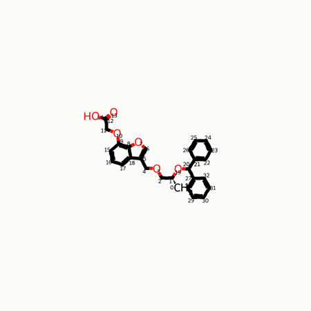 C[C@H](COCc1coc2c(OCC(=O)O)cccc12)OC(c1ccccc1)c1ccccc1